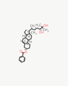 C[C@H](CC[C@@H](O)C(C)(C)O)[C@H]1CC[C@H]2[C@@H]3CC=C4C[C@@H](OC(=O)c5ccccc5)CC[C@]4(C)[C@H]3CC[C@]12C